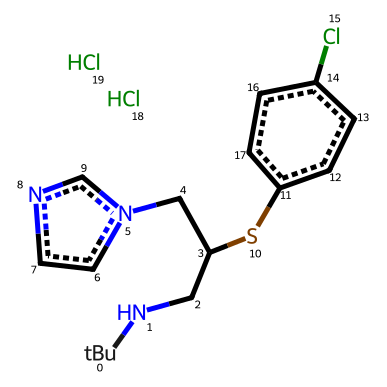 CC(C)(C)NCC(Cn1ccnc1)Sc1ccc(Cl)cc1.Cl.Cl